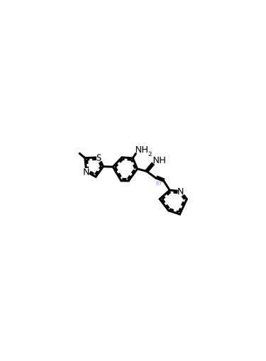 Cc1ncc(-c2ccc(C(=N)/C=C/c3ccccn3)c(N)c2)s1